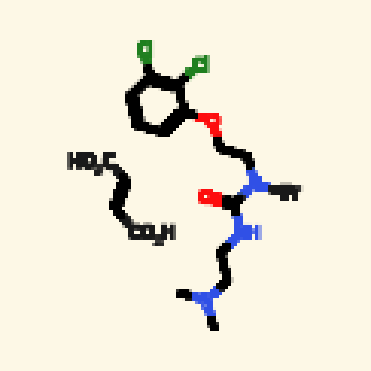 CC(C)N(CCOc1cccc(Cl)c1Cl)C(=O)NCCN(C)C.O=C(O)C=CC(=O)O